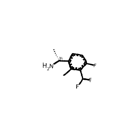 Cc1c([C@@H](C)N)ccc(F)c1C(F)F